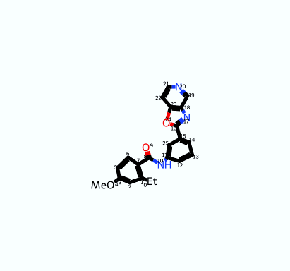 CCc1cc(OC)ccc1C(=O)Nc1cccc(-c2nc3cnccc3o2)c1